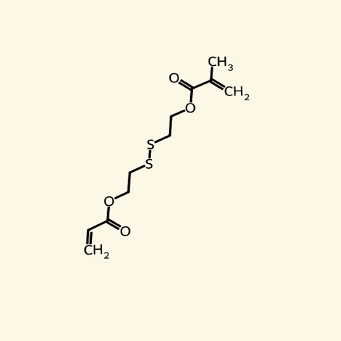 C=CC(=O)OCCSSCCOC(=O)C(=C)C